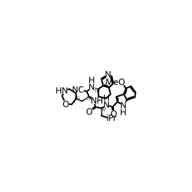 COc1cccc2[nH]c(C(=O)N[C@@H](CC(C)C)C(=O)N[C@@H](C[C@@H]3CCNCOC3)C(C#N)N[C@H]3CCCc4ccncc43)cc12